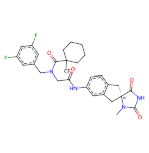 CN1C(=O)NC(=O)[C@@]12Cc1ccc(NC(=O)CN(Cc3cc(F)cc(F)c3)C(=O)C3(C(F)(F)F)CCCCC3)cc1C2